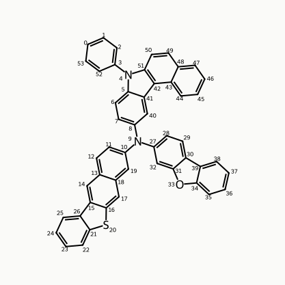 c1ccc(-n2c3ccc(N(c4ccc5cc6c(cc5c4)sc4ccccc46)c4ccc5c(c4)oc4ccccc45)cc3c3c4ccccc4ccc32)cc1